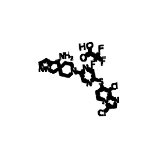 N[C@@H]1c2ccnn2CC12CCN(c1cnc(Sc3ccn4c(Cl)cnc4c3Cl)cn1)CC2.O=C(O)C(F)(F)F